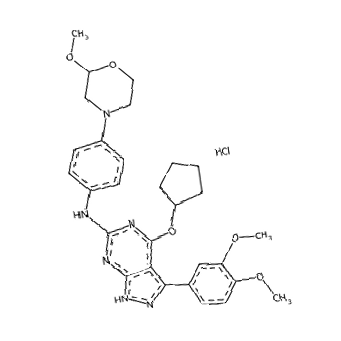 COc1ccc(-c2n[nH]c3nc(Nc4ccc(N5CCOC(OC)C5)cc4)nc(OC4CCCC4)c23)cc1OC.Cl